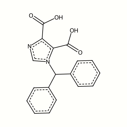 O=C(O)c1ncn(C(c2ccccc2)c2ccccc2)c1C(=O)O